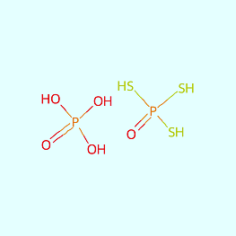 O=P(O)(O)O.O=P(S)(S)S